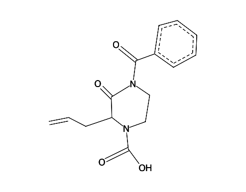 C=CCC1C(=O)N(C(=O)c2ccccc2)CCN1C(=O)O